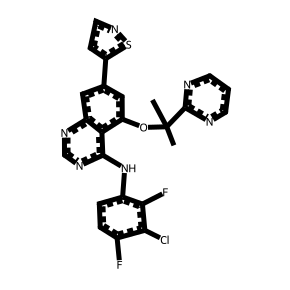 CC(C)(Oc1cc(-c2ccns2)cc2ncnc(Nc3ccc(F)c(Cl)c3F)c12)c1ncccn1